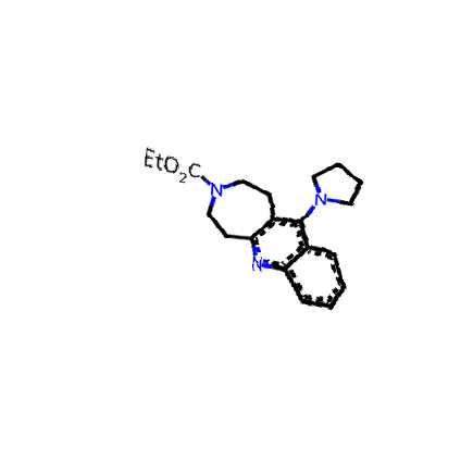 CCOC(=O)N1CCc2nc3ccccc3c(N3CCCC3)c2CC1